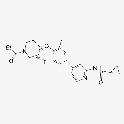 CCC(=O)N1CC[C@H](Oc2ccc(-c3ccnc(NC(=O)C4CC4)c3)cc2C)[C@H](F)C1